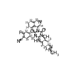 Cc1cc2nn(C)cc2cc1Nc1nc(=O)n(-c2cncc3ccccc23)c(=O)n1Cc1ccc(F)c(C#N)c1